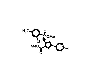 COC(=O)c1sc(-c2ccc(I)cc2)cc1NP(=O)(OC)c1ccc(C)cc1C